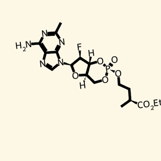 CCOC(=O)[C@@H](C)CCO[P@@]1(=O)OC[C@H]2O[C@@H](n3cnc4c(N)nc(C)nc43)[C@@H](F)[C@@H]2O1